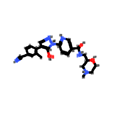 Cc1cc(C#N)ccc1-c1cnn(-c2ccc(C(=O)NCC3CN(C)CCO3)cn2)c1O